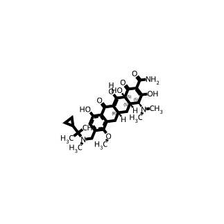 COc1c(CN(C)C(C)(C)C2CC2)cc(O)c2c1C[C@H]1C[C@H]3[C@H](N(C)C)C(O)=C(C(N)=O)C(=O)[C@@]3(O)C(O)=C1C2=O